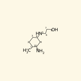 CC1CCC(NCCO)CC1N